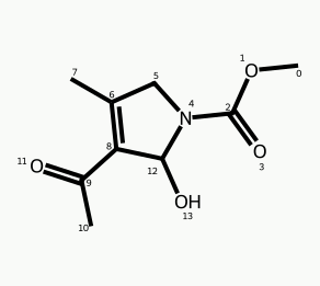 COC(=O)N1CC(C)=C(C(C)=O)C1O